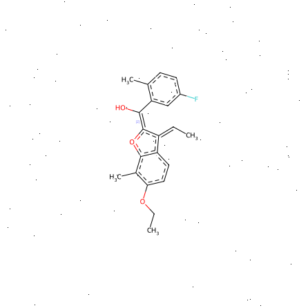 CC=c1/c(=C(/O)c2cc(F)ccc2C)oc2c(C)c(OCC)ccc12